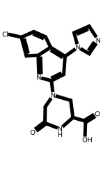 O=C1CN(c2cc(-n3ccnc3)c3ccc(Cl)cc3n2)CC(C(=O)O)N1